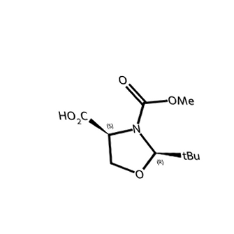 COC(=O)N1[C@H](C(=O)O)CO[C@@H]1C(C)(C)C